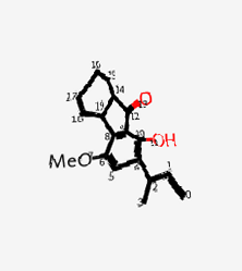 C=CC(C)c1cc(OC)c2c(c1O)C(=O)C1CCCCC21